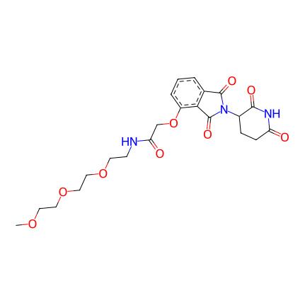 COCCOCCOCCNC(=O)COc1cccc2c1C(=O)N(C1CCC(=O)NC1=O)C2=O